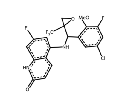 COc1c(F)cc(Cl)cc1C(Nc1cc(F)cc2[nH]c(=O)ccc12)C1(C(F)(F)F)CO1